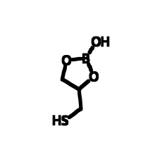 OB1OCC(CS)O1